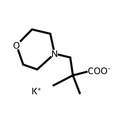 CC(C)(CN1CCOCC1)C(=O)[O-].[K+]